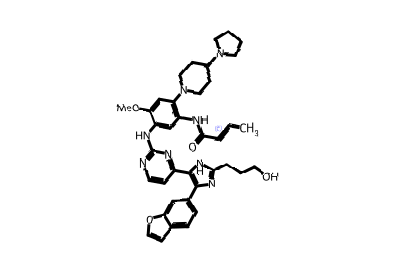 C/C=C/C(=O)Nc1cc(Nc2nccc(-c3[nH]c(CCCO)nc3-c3ccc4ccoc4c3)n2)c(OC)cc1N1CCC(N2CCCC2)CC1